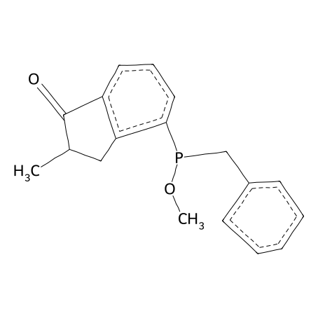 COP(Cc1ccccc1)c1cccc2c1CC(C)C2=O